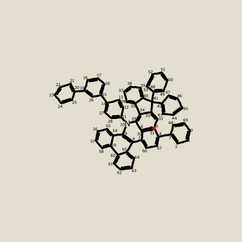 c1ccc(-c2ccc(-c3c(N(c4ccc(-c5cccc(-c6ccccc6)c5)cc4)c4cccc5c4-c4ccccc4C5(c4ccccc4)c4ccccc4)c4ccccc4c4ccccc34)cc2)cc1